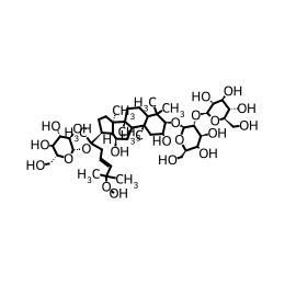 CC(C)(/C=C/CC(C)(O[C@@H]1O[C@H](CO)[C@@H](O)[C@H](O)[C@H]1O)[C@H]1CC[C@]2(C)[C@@H]1[C@H](O)CC1[C@@]3(C)C[C@@H](O)[C@H](O[C@@H]4O[C@H](CO)[C@@H](O)[C@H](O)[C@H]4O[C@@H]4O[C@H](CO)[C@@H](O)[C@H](O)[C@H]4O)C(C)(C)C3CC[C@]12C)OO